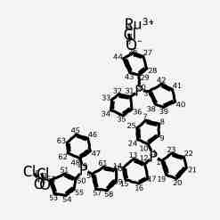 [O-]Cl.[O-]Cl.[O-]Cl.[Ru+3].c1ccc(P(c2ccccc2)c2ccccc2)cc1.c1ccc(P(c2ccccc2)c2ccccc2)cc1.c1ccc(P(c2ccccc2)c2ccccc2)cc1